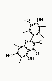 Cc1c(C)c(-c2oc3c(C)c(O)c(C)c(O)c3c(=O)c2O)c(C)c(O)c1O